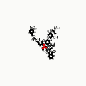 CN(C(=O)OC(C)(C)C)[C@@H]1[C@@H](O)[C@@H](O[C@@H]2[C@@H](O)[C@H](O[C@H]3OC(CNC(=O)OCc4ccc([N+](=O)[O-])cc4)=CC[C@H]3NC(=O)OC(C)(C)C)[C@@H](NC(=O)OC(C)(C)C)C[C@H]2NS(=O)(=O)CCN2C(=O)c3ccccc3C2=O)OC[C@]1(C)O